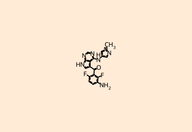 Cn1cc(Nc2ncnc3[nH]cc(C(=O)c4c(F)ccc(N)c4F)c23)cn1